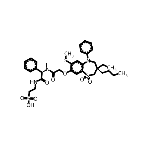 CCCC[C@]1(CC)CN(c2ccccc2)c2cc(SC)c(OCC(=O)N[C@@H](C(=O)NCCS(=O)(=O)O)c3ccccc3)cc2S(=O)(=O)C1